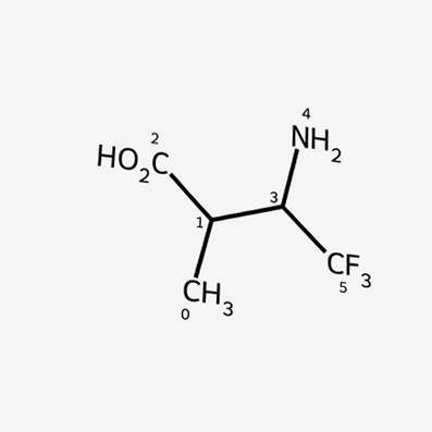 CC(C(=O)O)C(N)C(F)(F)F